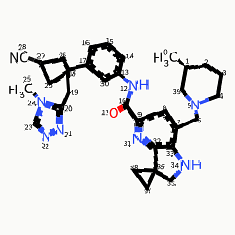 C[C@H]1CCCN(Cc2cc(C(=O)Nc3cccc(C4(Cc5nncn5C)CC(C#N)C4)c3)nc3c2NCC32CC2)C1